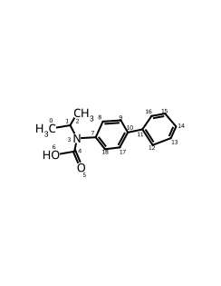 CC(C)N(C(=O)O)c1ccc(-c2ccccc2)cc1